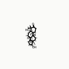 CC1(C)C(=O)CC[C@]2(C)[C@H]3CC[C@]4(C)[C@@H](O)CC[C@H]4[C@@H]3CC[C@@]12O